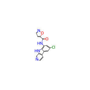 O=C(Nc1cc(Cl)cc2c1[nH]c1cnccc12)c1ccno1